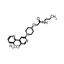 CCCNC(=O)COC1CCN(c2cc(-c3ncccc3C)c(Cl)cn2)CC1